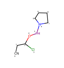 N#CCC(Cl)OPN1CCCC1